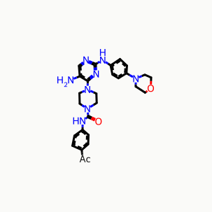 CC(=O)c1ccc(NC(=O)N2CCN(c3nc(Nc4ccc(N5CCOCC5)cc4)ncc3N)CC2)cc1